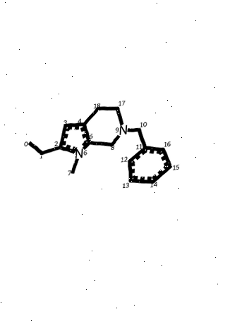 CCc1cc2c(n1C)CN(Cc1ccccc1)CC2